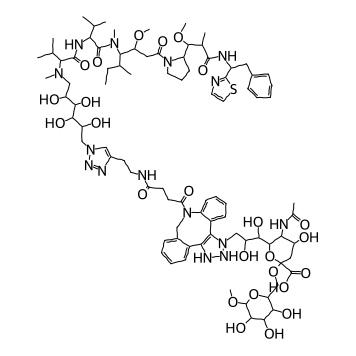 CCC(C)C(C(CC(=O)N1CCCC1C(OC)C(C)C(=O)NC(Cc1ccccc1)c1nccs1)OC)N(C)C(=O)C(NC(=O)C(C(C)C)N(C)CC(O)C(O)C(O)C(O)Cn1cc(CCNC(=O)CCC(=O)N2Cc3ccccc3C3=C(c4ccccc42)N(CC(O)C(O)C2OC(OCC4OC(OC)C(O)C(O)C4O)(C(=O)O)CC(O)C2NC(C)=O)NN3)nn1)C(C)C